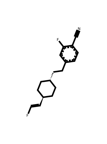 N#Cc1ccc(CC[C@H]2CC[C@H](C=CF)CC2)cc1F